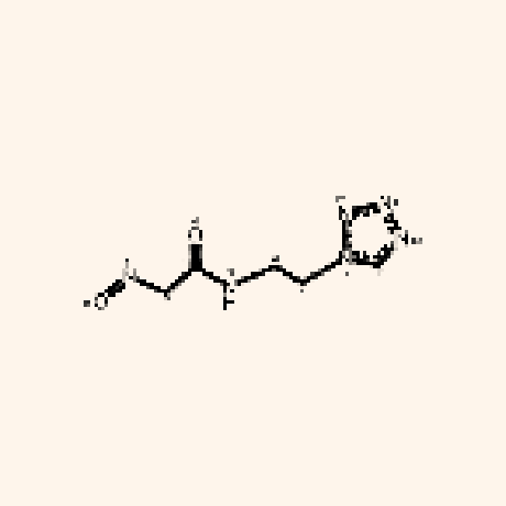 O=NCC(=O)NCCn1cnnn1